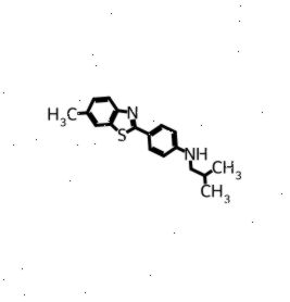 Cc1ccc2nc(-c3ccc(NCC(C)C)cc3)sc2c1